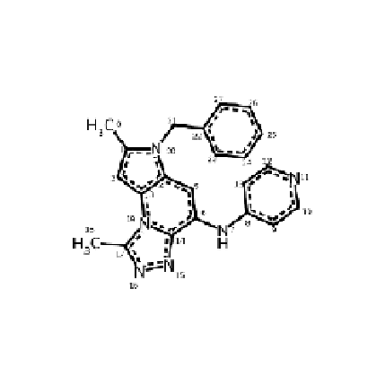 Cc1cc2c(cc(Nc3ccncc3)c3nnc(C)n32)n1Cc1ccccc1